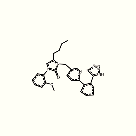 CCCCc1cn(-c2ccccc2OC)c(=O)n1Cc1ccc(-c2ccccc2-c2nnn[nH]2)nc1